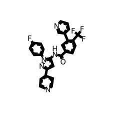 O=C(Nc1cc(-c2ccncc2)nn1-c1ccc(F)cc1)c1ccc(C(F)(F)F)c(-c2cccnc2)c1